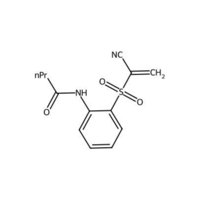 C=C(C#N)S(=O)(=O)c1ccccc1NC(=O)CCC